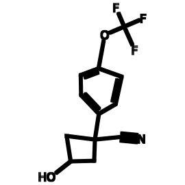 N#CC1(c2ccc(OC(F)(F)F)cc2)CC(O)C1